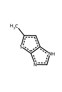 Cc1cc2[nH]cnc2s1